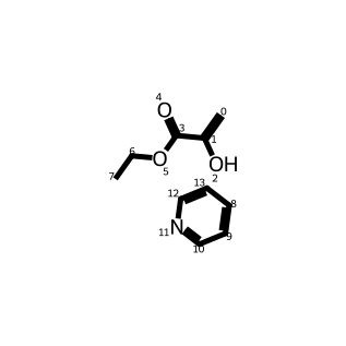 C=C(O)C(=O)OCC.c1ccncc1